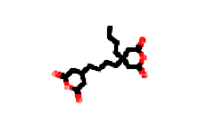 CCCCC1(CCCCC2CC(=O)OC(=O)C2)CC(=O)OC(=O)C1